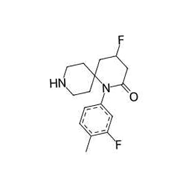 Cc1ccc(N2C(=O)CC(F)CC23CCNCC3)cc1F